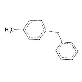 Cc1ccc([CH]c2ccccc2)cc1